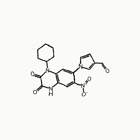 O=Cc1ccn(-c2cc3c(cc2[N+](=O)[O-])[nH]c(=O)c(=O)n3C2CCCCC2)c1